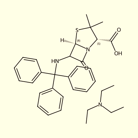 CC1(C)S[C@@H]2C(NC(c3ccccc3)(c3ccccc3)c3ccccc3)C(=O)N2[C@H]1C(=O)O.CCN(CC)CC